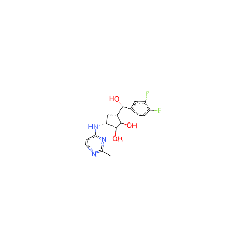 Cc1nccc(N[C@@H]2C[C@H]([C@H](O)c3ccc(F)c(F)c3)[C@@H](O)[C@H]2O)n1